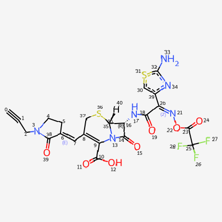 C#CCN1CC/C(=C\C2=C(C(=O)O)N3C(=O)[C@@H](NC(=O)/C(=N\OC(=O)C(F)(F)F)c4csc(N)n4)[C@H]3SC2)C1=O